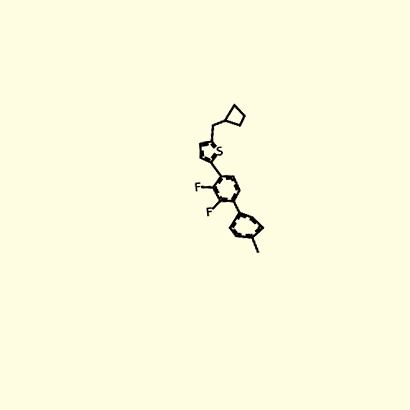 Cc1ccc(-c2ccc(-c3ccc(CC4CCC4)s3)c(F)c2F)cc1